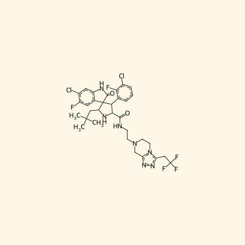 CC(C)(C)CC1NC(C(=O)NCCN2CCn3c(nnc3CC(F)(F)F)C2)C(c2cccc(Cl)c2F)C12C(=O)Nc1cc(Cl)c(F)cc12